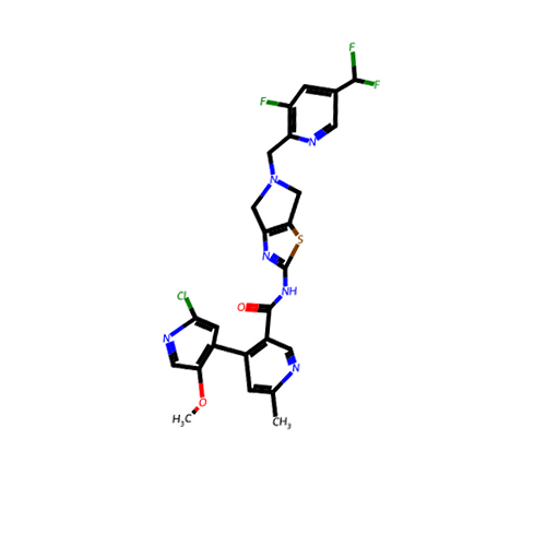 COc1cnc(Cl)cc1-c1cc(C)ncc1C(=O)Nc1nc2c(s1)CN(Cc1ncc(C(F)F)cc1F)C2